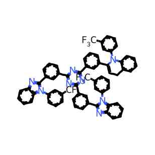 FC(F)(F)c1cccc(N2C(c3cccc(-c4nc(-c5cccc(-c6nc7ccccc7n6-c6cccc(C(F)(F)F)c6)c5)nc(-c5cccc(-c6nc7ccccc7n6-c6cccc(C(F)(F)F)c6)c5)n4)c3)=CCc3ccccc32)c1